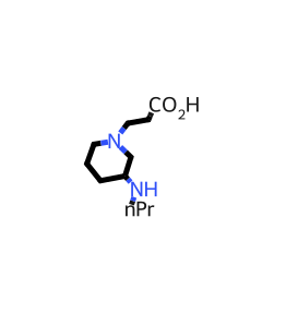 CCCNC1CCCN(CCC(=O)O)C1